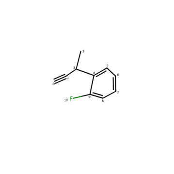 C#CC(C)c1ccccc1F